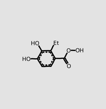 CCc1c(C(=O)OO)ccc(O)c1O